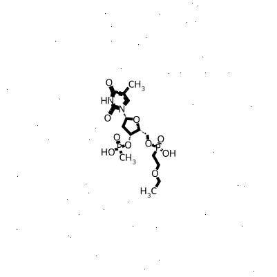 CCOCCP(=O)(O)OC[C@H]1O[C@@H](n2cc(C)c(=O)[nH]c2=O)C[C@H]1OP(C)(=O)O